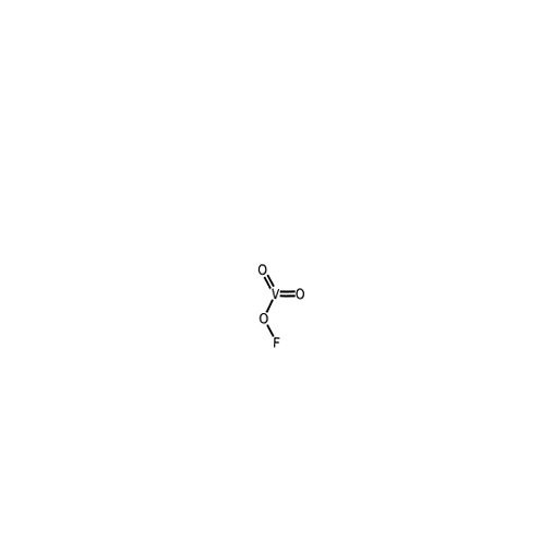 [O]=[V](=[O])[O]F